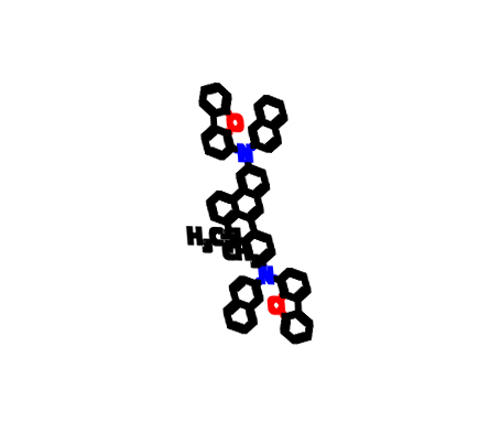 C[Si]1(C)c2cc(N(c3ccc4ccccc4c3)c3cccc4c3oc3ccccc34)ccc2-c2cc3ccc(N(c4ccc5ccccc5c4)c4cccc5c4oc4ccccc45)cc3c3cccc1c23